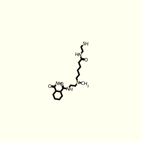 CN(CCCCCC(=O)NCCS)CCNC(=O)C1CCCCC1C(N)=O